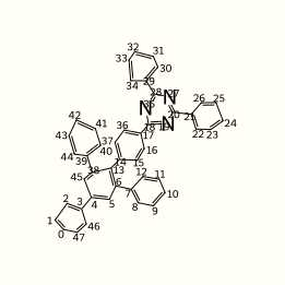 c1ccc(-c2cc(-c3ccccc3)c(-c3ccc(-c4nc(-c5ccccc5)nc(-c5ccccc5)n4)cc3)c(-c3ccccc3)c2)cc1